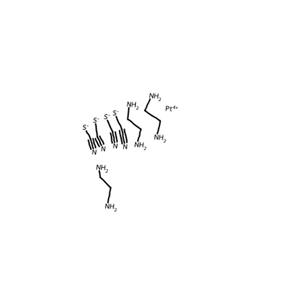 N#C[S-].N#C[S-].N#C[S-].N#C[S-].NCCN.NCCN.NCCN.[Pt+4]